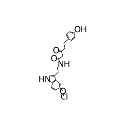 O=C(CCc1ccc(O)cc1)CC(=O)NCCc1c[nH]c2ccc(OCl)cc12